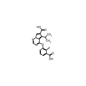 CC(C)c1c(C(=O)O)cn2ncnc(Oc3cccc(C(=O)O)c3F)c12